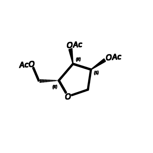 CC(=O)OC[C@H]1OC[C@H](OC(C)=O)[C@@H]1OC(C)=O